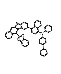 c1ccc(-c2ccc(N(c3ccccc3)c3ccc(-c4ccc5sc6cc7ccccc7c(-c7nc8ccccc8o7)c6c5c4)c4ccccc34)cc2)cc1